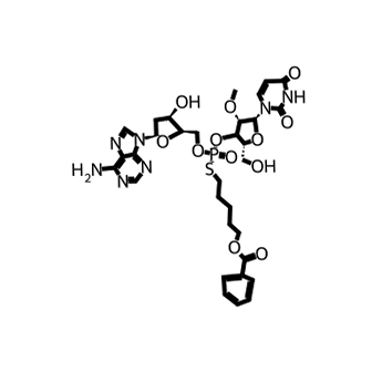 CO[C@H]1C(OP(=O)(OC[C@H]2O[C@@H](n3cnc4c(N)ncnc43)C[C@H]2O)SCCCCCOC(=O)c2ccccc2)[C@@H](CO)O[C@H]1n1ccc(=O)[nH]c1=O